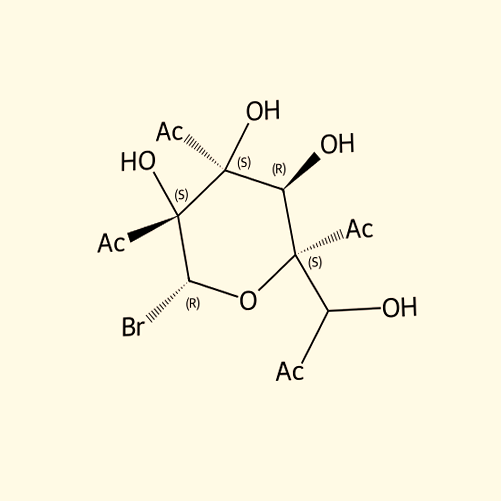 CC(=O)C(O)[C@@]1(C(C)=O)O[C@H](Br)[C@@](O)(C(C)=O)[C@](O)(C(C)=O)[C@H]1O